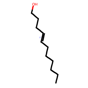 CCCCCC/C=C/CCCO